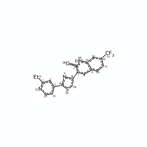 CCc1cc(-c2nc(-c3cc4ccc(C(F)(F)F)cc4[nH]c3=O)cs2)ccn1